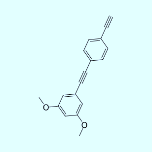 C#Cc1ccc(C#Cc2cc(OC)cc(OC)c2)cc1